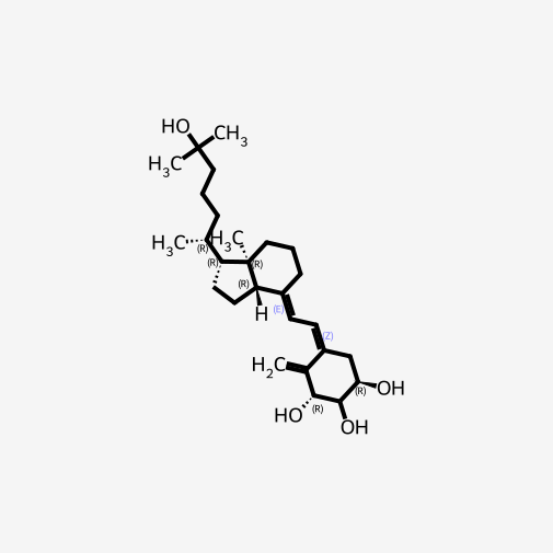 C=C1/C(=C\C=C2/CCC[C@]3(C)[C@@H]([C@H](C)CCCC(C)(C)O)CC[C@@H]23)C[C@@H](O)C(O)[C@@H]1O